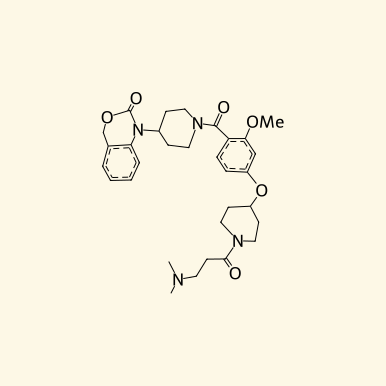 COc1cc(OC2CCN(C(=O)CCN(C)C)CC2)ccc1C(=O)N1CCC(N2C(=O)OCc3ccccc32)CC1